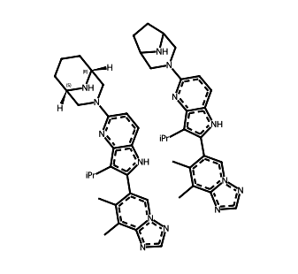 Cc1c(-c2[nH]c3ccc(N4CC5CCC(C4)N5)nc3c2C(C)C)cn2ncnc2c1C.Cc1c(-c2[nH]c3ccc(N4C[C@H]5CCC[C@@H](C4)N5)nc3c2C(C)C)cn2ncnc2c1C